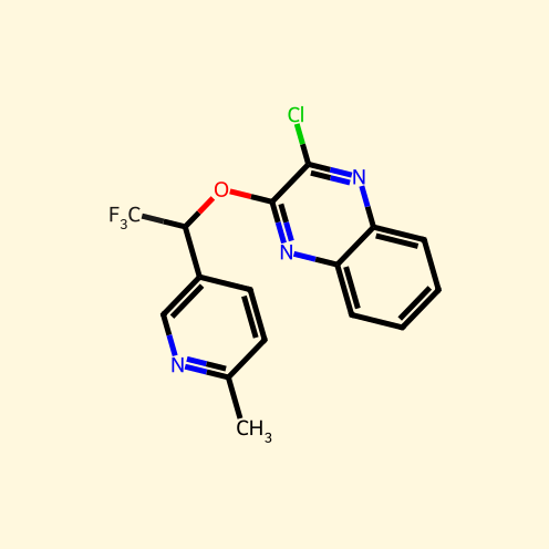 Cc1ccc(C(Oc2nc3ccccc3nc2Cl)C(F)(F)F)cn1